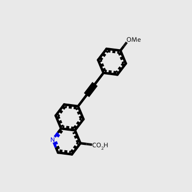 COc1ccc(C#Cc2ccc3nccc(C(=O)O)c3c2)cc1